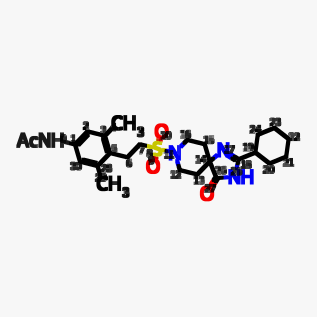 CC(=O)Nc1cc(C)c(CCS(=O)(=O)N2CCC3(CC2)N=C(C2CCCCC2)NC3=O)c(C)c1